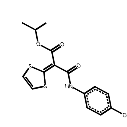 CC(C)OC(=O)C(C(=O)Nc1ccc(O)cc1)=C1SC=CS1